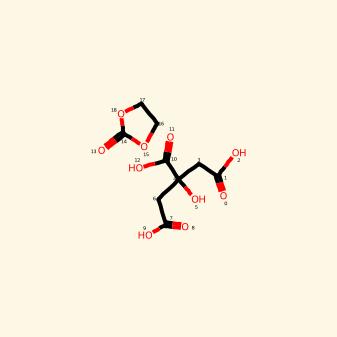 O=C(O)CC(O)(CC(=O)O)C(=O)O.O=C1OCCO1